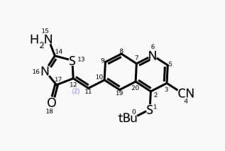 CC(C)(C)Sc1c(C#N)cnc2ccc(/C=C3\SC(N)=NC3=O)cc12